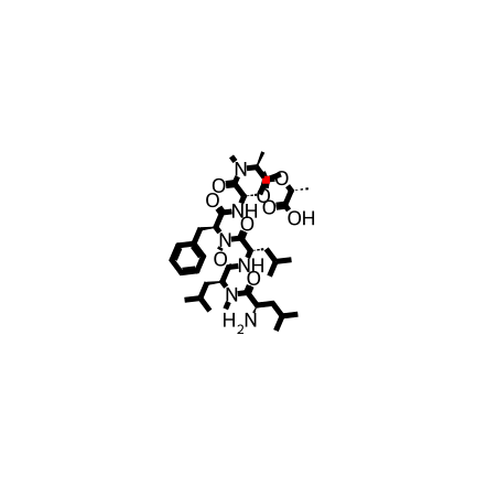 CC(C)C[C@H](NC(=O)[C@H](Cc1ccccc1)N(C)C(=O)[C@H](CC(C)C)NC(=O)[C@H](CC(C)C)N(C)C(=O)[C@@H](N)CC(C)C)C(=O)N(C)[C@@H](C)C(=O)O[C@H](C)C(=O)O